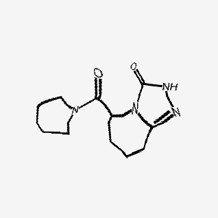 O=C(C1CCCc2n[nH]c(=O)n21)N1CCCC1